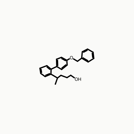 CC(CCCO)c1ccccc1-c1ccc(OCc2ccccc2)cc1